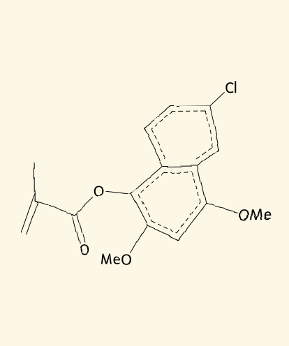 C=C(C)C(=O)Oc1c(OC)cc(OC)c2cc(Cl)ccc12